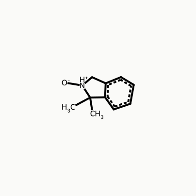 CC1(C)c2ccccc2C[NH+]1[O-]